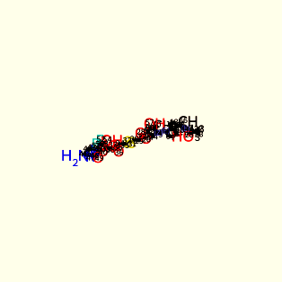 C=C1/C(=C\C=C2/CCC[C@@]3(C)C2CCC3[C@@H](C)/C=C/C(O)C2CC2)C[C@@H](OC(=O)CCSSCCC(=O)OCC2OC(n3ccc(N)nc3=O)C(F)(F)C2O)C[C@@H]1O